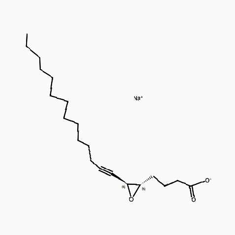 CCCCCCCCCCCCC#C[C@@H]1O[C@H]1CCCC(=O)[O-].[Na+]